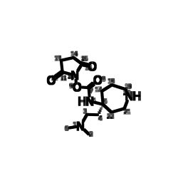 CN(C)CC[C@]1(NC(=O)ON2C(=O)CCC2=O)CCCNCC1